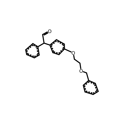 O=CC(c1ccccc1)c1ccc(OCCOCc2ccccc2)cc1